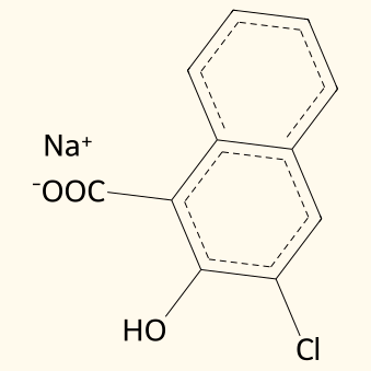 O=C([O-])c1c(O)c(Cl)cc2ccccc12.[Na+]